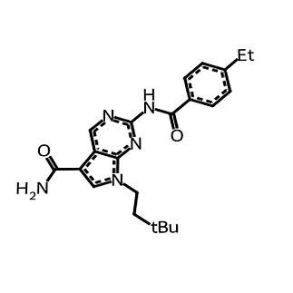 CCc1ccc(C(=O)Nc2ncc3c(C(N)=O)cn(CCC(C)(C)C)c3n2)cc1